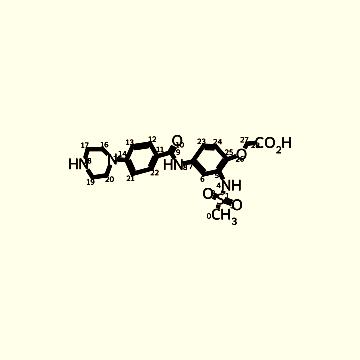 CS(=O)(=O)Nc1cc(NC(=O)c2ccc(N3CCNCC3)cc2)ccc1OCC(=O)O